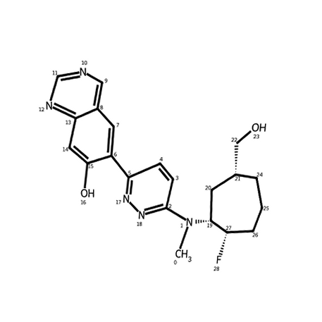 CN(c1ccc(-c2cc3cncnc3cc2O)nn1)[C@@H]1C[C@H](CO)CCC[C@@H]1F